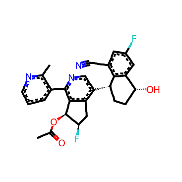 CC(=O)O[C@H]1c2c(-c3cccnc3C)ncc([C@H]3CC[C@@H](O)c4cc(F)cc(C#N)c43)c2C[C@H]1F